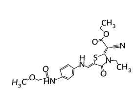 CCOC(=O)/C(C#N)=c1\sc(=CNc2ccc(NC(=O)COC)cc2)c(=O)n1CC